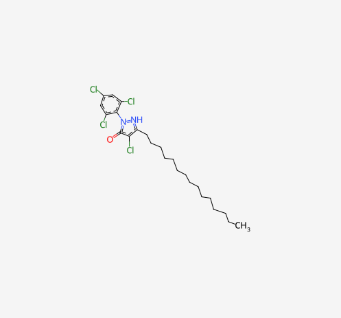 CCCCCCCCCCCCCCCc1[nH]n(-c2c(Cl)cc(Cl)cc2Cl)c(=O)c1Cl